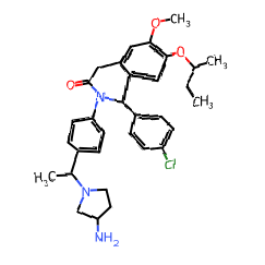 CCC(C)Oc1cc2c(cc1OC)CC(=O)N(c1ccc(C(C)N3CCC(N)C3)cc1)C2c1ccc(Cl)cc1